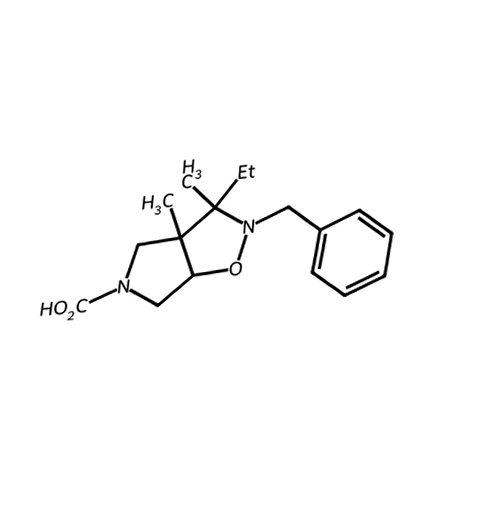 CCC1(C)N(Cc2ccccc2)OC2CN(C(=O)O)CC21C